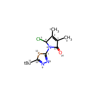 CC1=C(C)C(Cl)N(c2nnc(C(C)(C)C)s2)C1=O